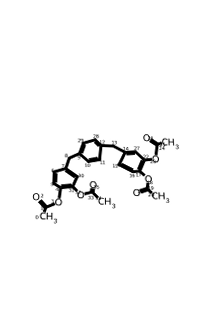 CC(=O)Oc1ccc(Cc2ccc(Cc3ccc(OC(C)=O)c(OC(C)=O)c3)cc2)cc1OC(C)=O